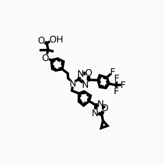 CC(C)(Oc1ccc(CCN(Cc2ccc(-c3noc(C4CC4)n3)cc2)c2noc(-c3ccc(C(F)(F)F)c(F)c3)n2)cc1)C(=O)O